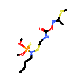 CCCCN(SCNC(=O)O/N=C(\C)SC)P(=S)(OC)OC